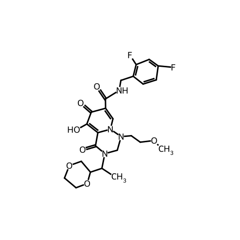 COCCN1CN(C(C)C2COCCO2)C(=O)c2c(O)c(=O)c(C(=O)NCc3ccc(F)cc3F)cn21